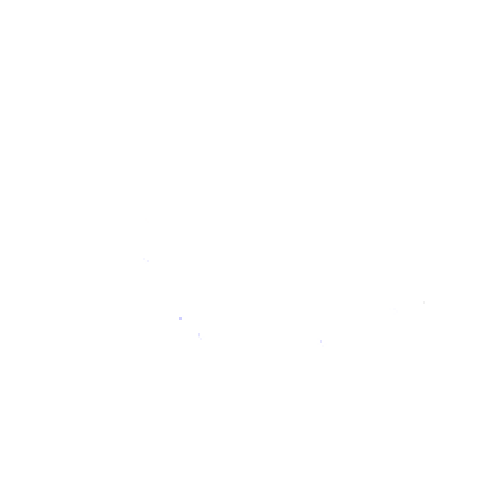 CC(C1CCN(C(=O)O)CC1)N1CC=C(c2ccc3c(-c4ccc(OCc5ccccc5)nc4OCc4ccccc4)nn(C)c3c2)CC1